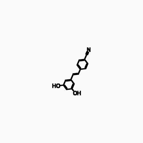 N#Cc1ccc(C=Cc2cc(O)cc(O)c2)cc1